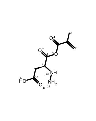 C=C(C)C(=O)OC(=O)[C@H](CC(=O)O)NN